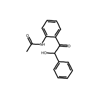 CC(=O)Nc1ccccc1C(=O)C(O)c1ccccc1